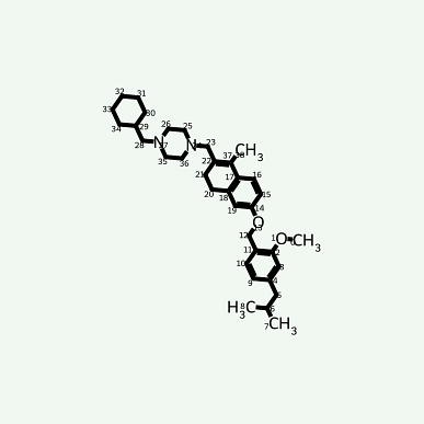 COc1cc(CC(C)C)ccc1COc1ccc2c(c1)CCC(CN1CCN(CC3CCCCC3)CC1)=C2C